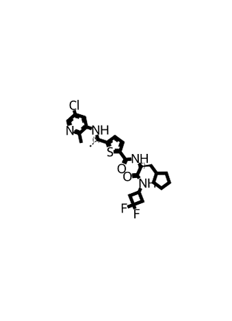 Cc1ncc(Cl)cc1N[C@@H](C)c1ccc(C(=O)N[C@@H](CC2CCCC2)C(=O)NC2CC(F)(F)C2)s1